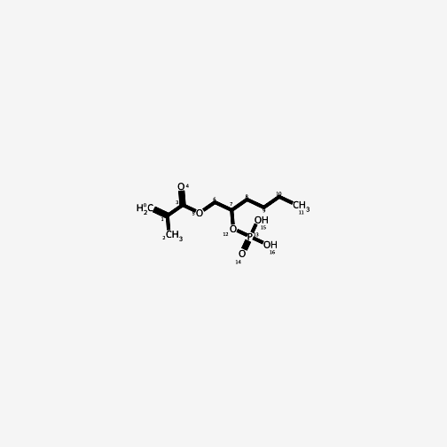 C=C(C)C(=O)OCC(CCCC)OP(=O)(O)O